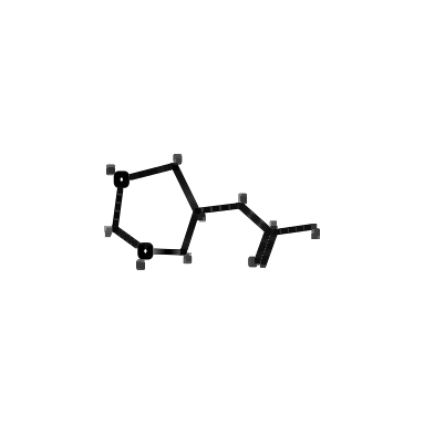 C=C(C)CC1COCOC1